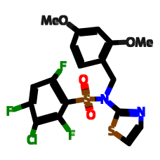 COc1ccc(CN(c2nccs2)S(=O)(=O)c2c(F)cc(F)c(Cl)c2F)c(OC)c1